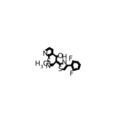 CSc1ncccc1C(=O)/C(C#N)=C1\NC(c2c(F)cccc2F)=CS1